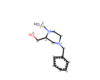 O=C(O)N1CCN(Cc2ccccc2)CC1CO